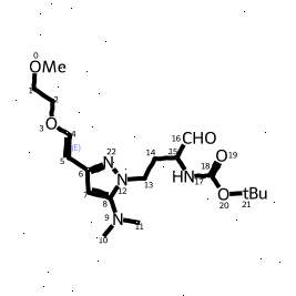 COCCO/C=C/c1cc(N(C)C)n(CCC(C=O)NC(=O)OC(C)(C)C)n1